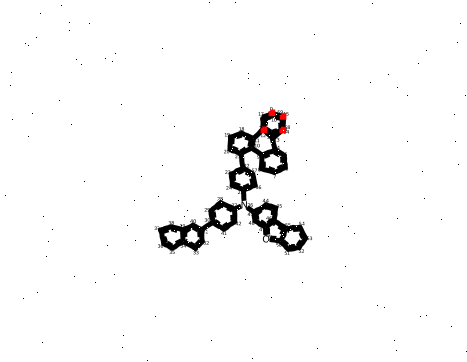 c1ccc(-c2ccccc2-c2c(-c3ccccc3)cccc2-c2ccc(N(c3ccc(-c4ccc5ccccc5c4)cc3)c3ccc4c(c3)oc3ccccc34)cc2)cc1